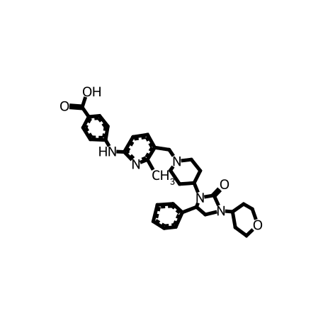 Cc1nc(Nc2ccc(C(=O)O)cc2)ccc1CN1CCC(N2C(=O)N(C3CCOCC3)CC2c2ccccc2)CC1